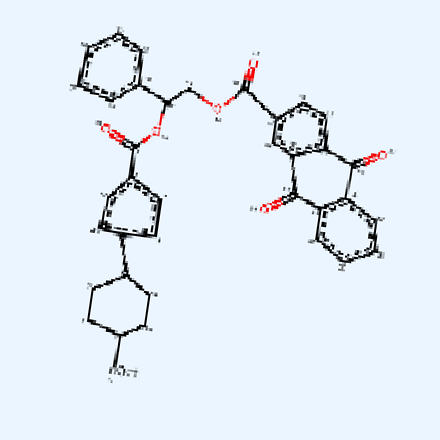 CCCCCCCCC1CCC(c2ccc(C(=O)OC(COC(=O)c3ccc4c(c3)C(=O)c3ccccc3C4=O)c3ccccc3)cc2)CC1